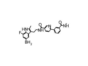 Bc1cc(F)c2[nH]c(C)c(CCNC(=O)c3ccc(-c4cccc(C(=O)NC)c4)nc3)c2c1